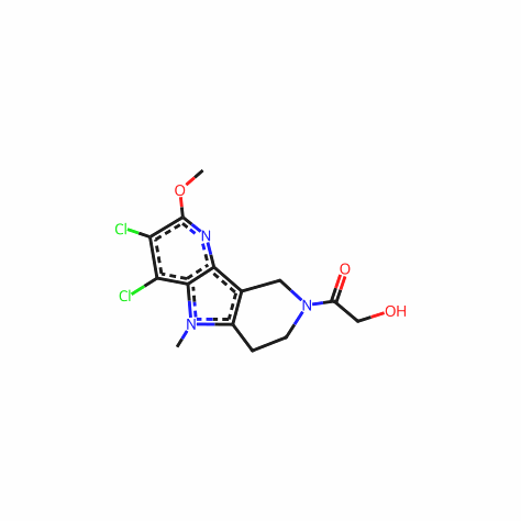 COc1nc2c3c(n(C)c2c(Cl)c1Cl)CCN(C(=O)CO)C3